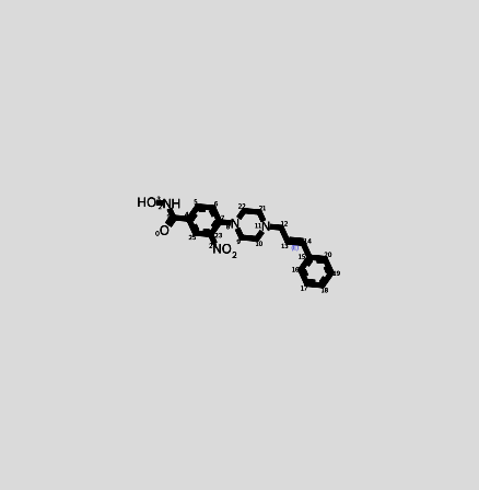 O=C(NO)c1ccc(N2CCN(C/C=C/c3ccccc3)CC2)c([N+](=O)[O-])c1